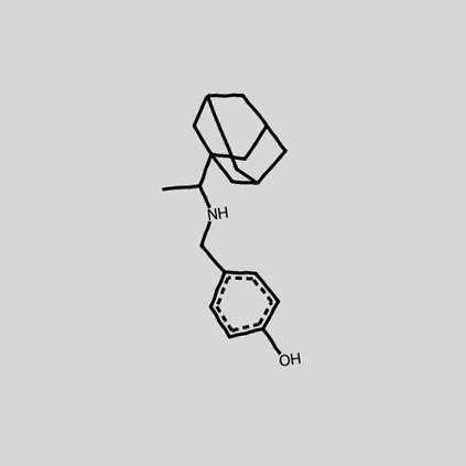 CC(NCc1ccc(O)cc1)C12CC3CC(CC(C3)C1)C2